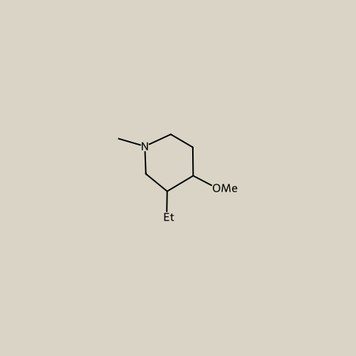 CCC1CN(C)CCC1OC